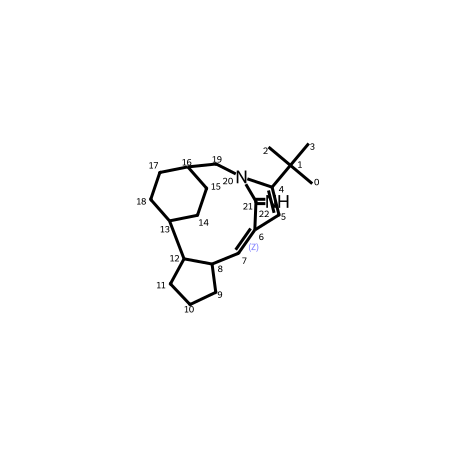 CC(C)(C)C1=C/C2=C/C3CCCC3C3CCC(CC3)CN1C2=N